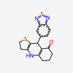 O=C1CCCC2=C1C(c1ccc3nsnc3c1)C1=C(CCS1)N2